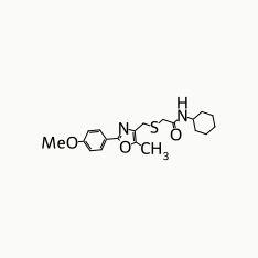 COc1ccc(-c2nc(CSCC(=O)NC3CCCCC3)c(C)o2)cc1